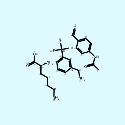 CC(=O)Nc1ccc(C=O)cc1.NCCCC[C@H](N)C(=O)O.NCc1cccc(C(F)(F)F)c1